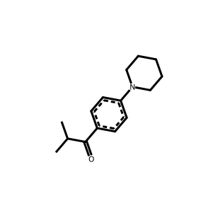 CC(C)C(=O)c1ccc(N2CCCCC2)cc1